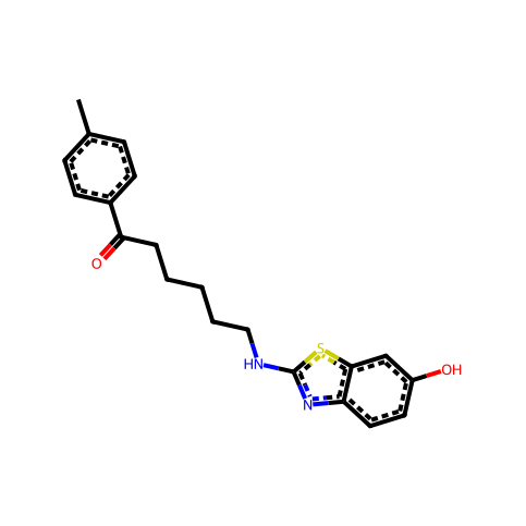 Cc1ccc(C(=O)CCCCCNc2nc3ccc(O)cc3s2)cc1